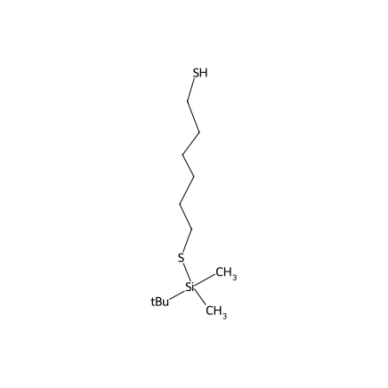 CC(C)(C)[Si](C)(C)SCCCCCCS